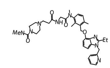 CCc1nc2c(OCc3c(C)ccc(N(C)C(=O)CNC(=O)CCN4CCN(C(=O)NC)CC4)c3C)cccc2n1Cc1ccccn1